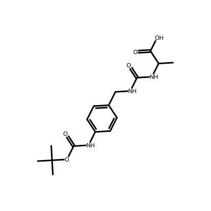 CC(NC(=O)NCc1ccc(NC(=O)OC(C)(C)C)cc1)C(=O)O